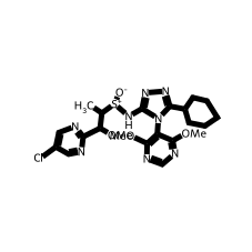 COc1ncnc(OC)c1-n1c(N[S+]([O-])C(C)C(OC)c2ncc(Cl)cn2)nnc1C1CCCCC1